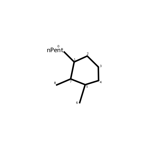 CCC[CH]CC1CCCC(C)C1C